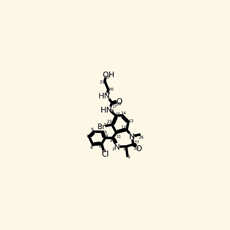 CC1N=C(c2ccccc2Cl)c2c(ccc(NC(=O)NCCO)c2Br)N(C)C1=O